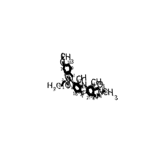 CCCS(=O)(=O)N(Cc1ccc(OC)cc1)c1ccc(F)c(Nc2ccc3ncn(C)c(=O)c3c2C)c1Cl